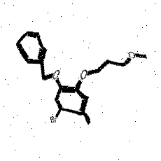 COCCCOc1cc(C)c(Br)cc1OCc1ccccc1